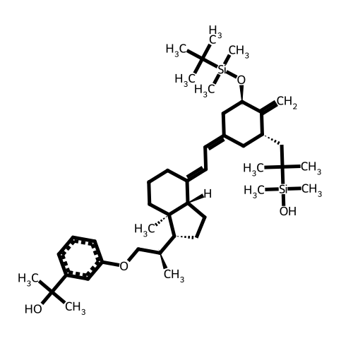 C=C1[C@H](CC(C)(C)[Si](C)(C)O)C/C(=C\C=C2/CCC[C@]3(C)[C@@H]([C@@H](C)COc4cccc(C(C)(C)O)c4)CC[C@@H]23)C[C@H]1O[Si](C)(C)C(C)(C)C